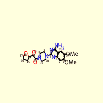 COc1cc2nc(N3CCN(C(=O)C(=O)C4CCCO4)CC3)nc(N)c2cc1OC